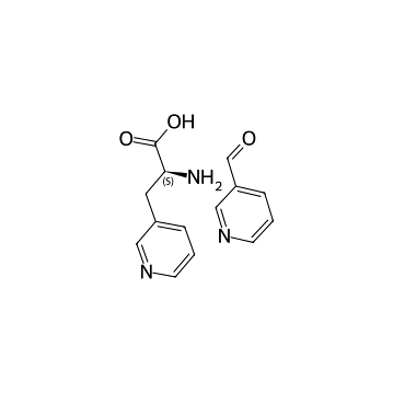 N[C@@H](Cc1cccnc1)C(=O)O.O=Cc1cccnc1